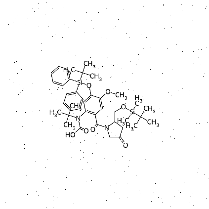 COc1cc(C(=O)N2CC(=O)CC2CO[Si](C)(C)C(C)(C)C)c(N(C(=O)O)C(C)(C)C)cc1O[Si](c1ccccc1)(c1ccccc1)C(C)(C)C